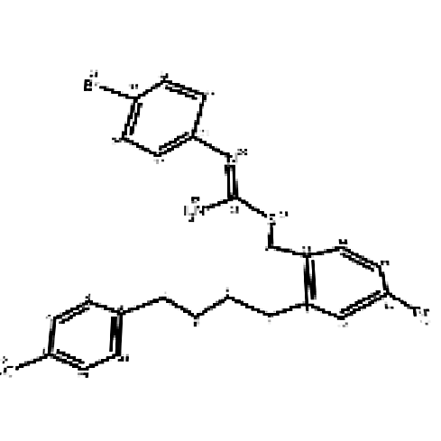 N#Cc1ccc(CCCCc2cc(Br)ccc2CS/C(N)=N/c2ccc(Br)cc2)cc1